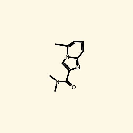 Cc1cccc2nc(C(=O)N(C)C)cn12